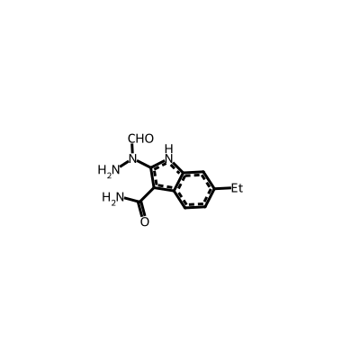 CCc1ccc2c(C(N)=O)c(N(N)C=O)[nH]c2c1